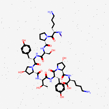 C[C@@H](O)[C@H](NC(=O)[C@@H]1C[C@@H](O)CN1C(=O)[C@H](Cc1ccc(O)cc1)NC(=O)[C@H](CO)NC(=O)[C@@H]1CCCN1C(=O)[C@H](CCCCN)NI)C(=O)N[C@@H](Cc1ccc(O)cc1)C(=O)N1C[C@H](O)C[C@H]1C(=O)N[C@@H](CCCCN)C(=O)O